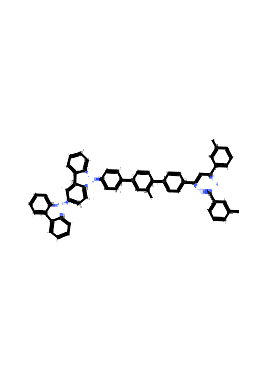 Cc1cccc(-c2cc(-c3ccc(-c4ccc(-c5ccc(-n6c7ccccc7c7cc(-n8c9ccccc9c9ccccc98)ccc76)cc5)cc4C)cc3)nc(-c3cccc(C)c3)n2)c1